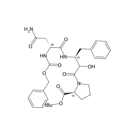 CC(C)(C)OC(=O)[C@@H]1CCCN1C(=O)C(O)[C@H](Cc1ccccc1)NC(=O)[C@@H](CC(N)=O)NC(=O)OCc1ccccc1